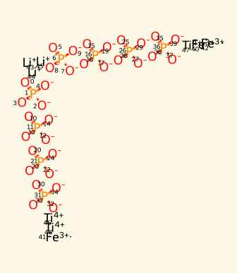 O=P([O-])([O-])[O-].O=P([O-])([O-])[O-].O=P([O-])([O-])[O-].O=P([O-])([O-])[O-].O=P([O-])([O-])[O-].O=P([O-])([O-])[O-].O=P([O-])([O-])[O-].O=P([O-])([O-])[O-].[Fe+3].[Fe+3].[Fe+3].[Li+].[Li+].[Li+].[Ti+4].[Ti+4].[Ti+4]